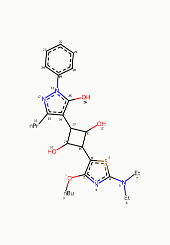 CCCCOc1nc(N(CC)CC)sc1C1C(O)C(c2c(CCC)nn(-c3ccccc3)c2O)C1O